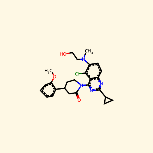 COc1ccccc1C1CCN(c2nc(C3CC3)nc3ccc(N(C)CCO)c(Cl)c23)C(=O)C1